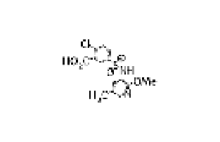 COc1ncc(C)cc1NS(=O)(=O)c1ccc(Cl)c(C(=O)O)c1